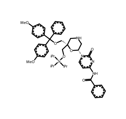 COc1ccc(C(OC[C@]2(CO[Si](C(C)C)(C(C)C)C(C)C)CNC[C@H](n3ccc(NC(=O)c4ccccc4)nc3=O)O2)(c2ccccc2)c2ccc(OC)cc2)cc1